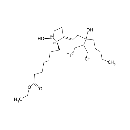 CCCCCC(O)(CC=C1CC[C@H](O)[C@@H]1CCCCCCC(=O)OCC)C(CC)CC